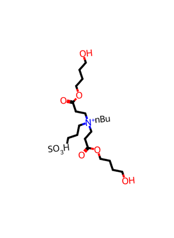 CCCC[N+](CCCS(=O)(=O)O)(CCC(=O)OCCCCO)CCC(=O)OCCCCO